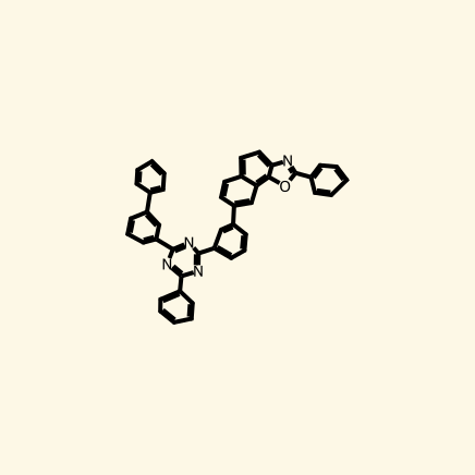 c1ccc(-c2cccc(-c3nc(-c4ccccc4)nc(-c4cccc(-c5ccc6ccc7nc(-c8ccccc8)oc7c6c5)c4)n3)c2)cc1